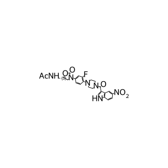 CC(=O)NC[C@H]1CN(c2ccc(N3CCN(C(=O)c4c[nH]c5ccc([N+](=O)[O-])cc45)CC3)c(F)c2)C(=O)O1